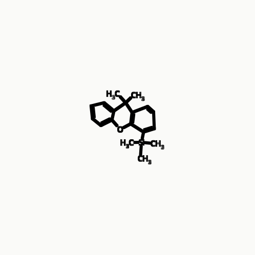 CC1(C)c2ccccc2Oc2c1cccc2[Si](C)(C)C